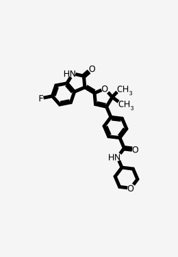 CC1(C)OC(=C2C(=O)Nc3cc(F)ccc32)C=C1c1ccc(C(=O)NC2CCOCC2)cc1